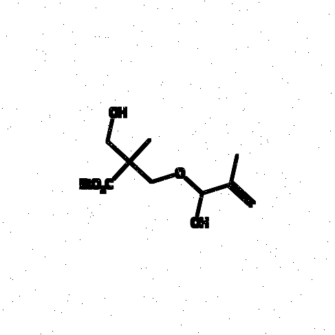 C=C(C)C(O)OCC(C)(CO)C(=O)OCC